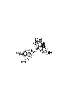 CCCCCCN(CCCC[C@@H]1Cc2cc(O)ccc2[C@@H]2[C@@H]1[C@@H]1CC[C@H](O)[C@@]1(C)C[C@@H]2F)C(=O)c1ccc(OCC)cc1